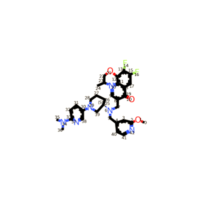 COc1cc(CN(Cc2cn3c4c(c(F)c(F)cc4c2=O)OCC3C)[C@H]2CCCN(c3ccc(N(C)C)nc3)C2)ccn1